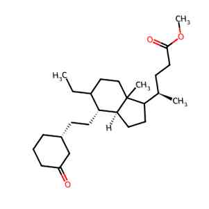 CCC1CCC2(C)C([C@H](C)CCC(=O)OC)CC[C@H]2[C@@H]1CC[C@H]1CCCC(=O)C1